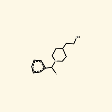 OCCC1CCN(C(I)c2ccccc2)CC1